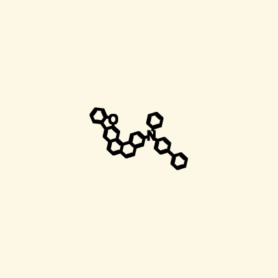 c1ccc(-c2ccc(N(c3ccccc3)c3ccc4c(ccc5ccc6cc7c(cc6c54)oc4ccccc47)c3)cc2)cc1